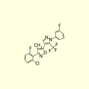 Cc1c(-c2c(F)cccc2Cl)noc1-c1cnn(-c2cccc(F)c2)c1C(F)(F)F